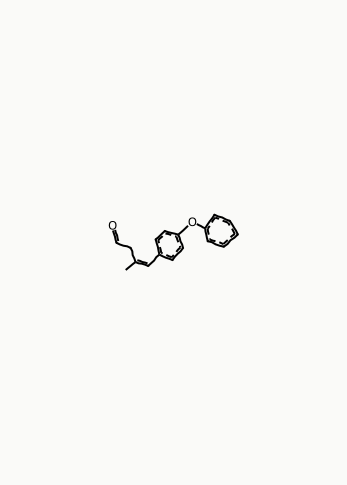 CC(=Cc1ccc(Oc2ccccc2)cc1)CC=O